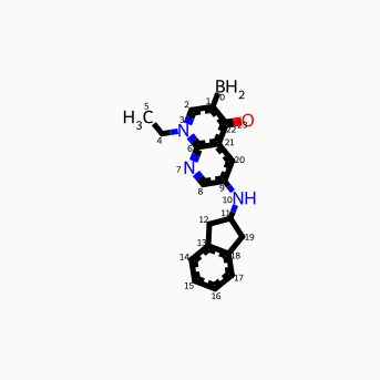 Bc1cn(CC)c2ncc(NC3Cc4ccccc4C3)cc2c1=O